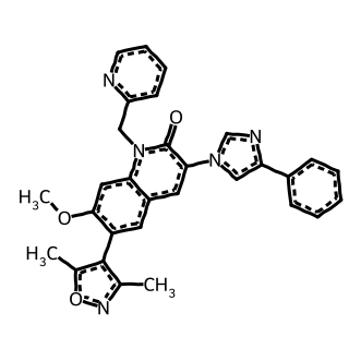 COc1cc2c(cc1-c1c(C)noc1C)cc(-n1cnc(-c3ccccc3)c1)c(=O)n2Cc1ccccn1